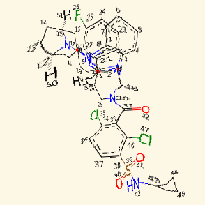 Cc1nc2ccccc2n1[C@H]1C[C@H]2CC[C@@H](C1)N2CCC1(c2cccc(F)c2)CCN(C(=O)c2c(Cl)ccc(S(=O)(=O)NC3CC3)c2Cl)CC1